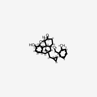 Cc1ccccc1CO[C@@]12CCC(=O)[C@@H]3Oc4c(O)ccc5c4[C@@]31CCN(CC1CC1)C2C5